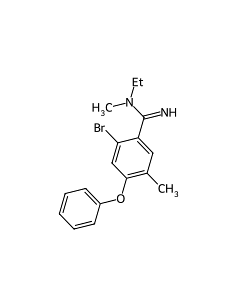 CCN(C)C(=N)c1cc(C)c(Oc2ccccc2)cc1Br